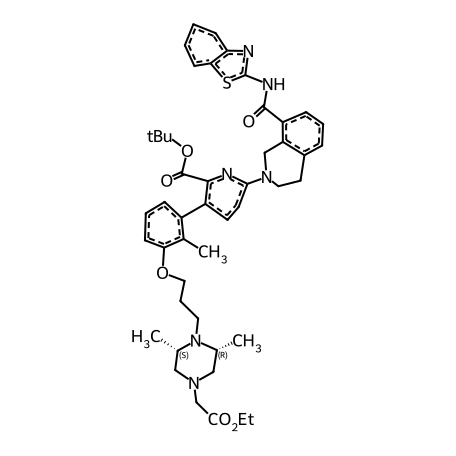 CCOC(=O)CN1C[C@@H](C)N(CCCOc2cccc(-c3ccc(N4CCc5cccc(C(=O)Nc6nc7ccccc7s6)c5C4)nc3C(=O)OC(C)(C)C)c2C)[C@@H](C)C1